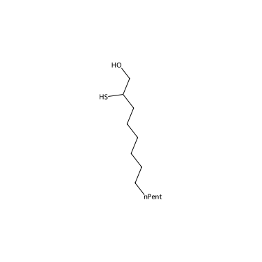 CCCCCCCCCCCC(S)CO